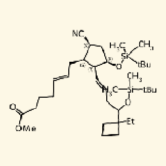 CCC1(C(CC=C[C@H]2[C@@H](CC=CCCCC(=O)OC)[C@@H](C#N)C[C@H]2O[Si](C)(C)C(C)(C)C)O[Si](C)(C)C(C)(C)C)CCC1